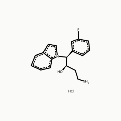 Cl.NCC[C@@H](O)[C@H](c1cccc(F)c1)n1ccc2ccccc21